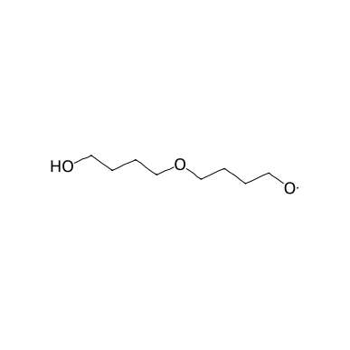 [O]CCCCOCCCCO